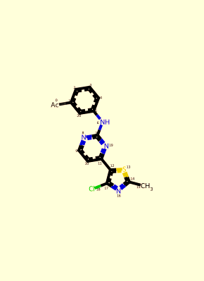 CC(=O)c1cccc(Nc2nccc(-c3sc(C)nc3Cl)n2)c1